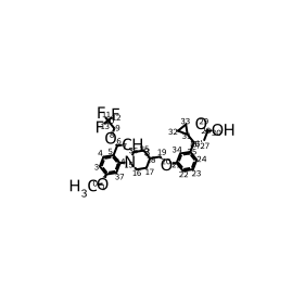 COc1ccc(C(C)OCC(F)(F)F)c(N2CCC(COc3cccc([C@@H](CC(=O)O)C4CC4)c3)CC2)c1